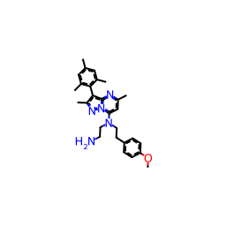 COc1ccc(CCN(CCN)c2cc(C)nc3c(-c4c(C)cc(C)cc4C)c(C)nn23)cc1